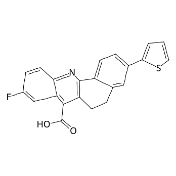 O=C(O)c1c2c(nc3ccc(F)cc13)-c1ccc(-c3cccs3)cc1CC2